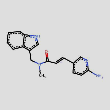 CN(Cc1c[nH]c2ccccc12)C(=O)/C=C/c1ccc(N)nc1